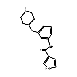 O=C(Nc1cccc(OC2CCNCC2)c1)c1cc[nH]c1